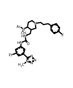 CCc1cc(NC(=O)NCC2CN(CCCc3ccc(F)cc3)CCC2N(C)C(C)=O)cc(-c2nnnn2C)c1